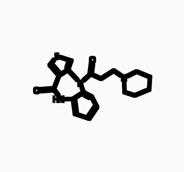 O=C1Nc2ccccc2N(C(=O)CCN2CCCCC2)c2cscc21